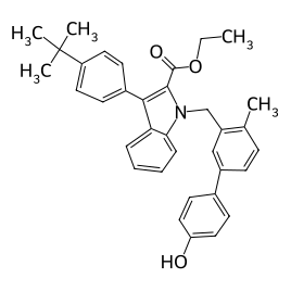 CCOC(=O)c1c(-c2ccc(C(C)(C)C)cc2)c2ccccc2n1Cc1cc(-c2ccc(O)cc2)ccc1C